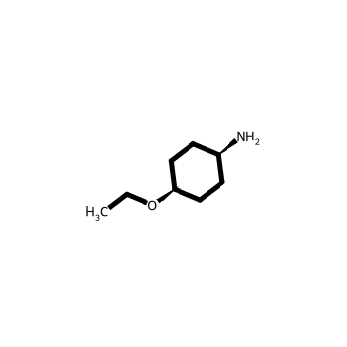 CCO[C@H]1CC[C@@H](N)CC1